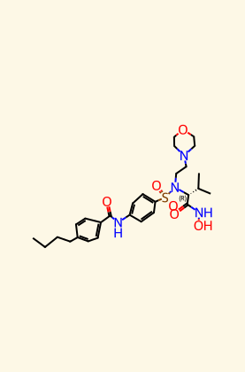 CCCCc1ccc(C(=O)Nc2ccc(S(=O)(=O)N(CCN3CCOCC3)[C@@H](C(=O)NO)C(C)C)cc2)cc1